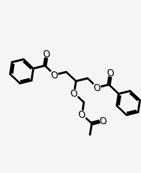 CC(=O)OCOC(COC(=O)c1ccccc1)COC(=O)c1ccccc1